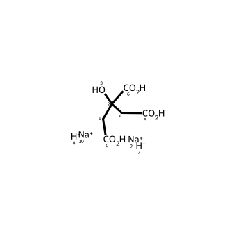 O=C(O)CC(O)(CC(=O)O)C(=O)O.[H-].[H-].[Na+].[Na+]